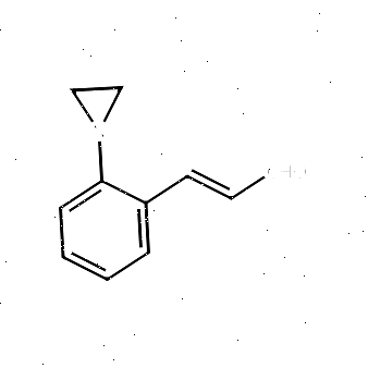 O=CC=Cc1ccccc1N1CC1